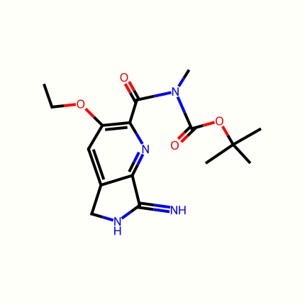 CCOc1cc2c(nc1C(=O)N(C)C(=O)OC(C)(C)C)C(=N)NC2